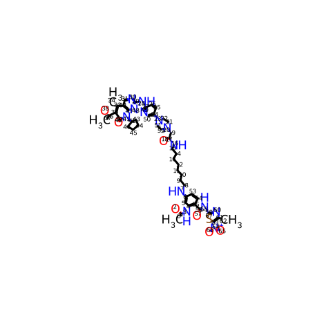 CC(=O)Nc1cc(NCCCCCCCCNC(=O)CN2CCN(c3ccc(Nc4ncc5c(C)c(C(C)=O)c(=O)n(C6CCCC6)c5n4)nc3)CC2)ccc1C(=O)Nc1nc(C)c([N+](=O)[O-])s1